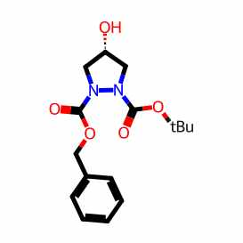 CC(C)(C)OC(=O)N1C[C@@H](O)CN1C(=O)OCc1ccccc1